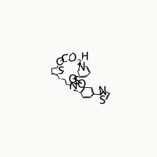 O=C(O)Oc1ccc(CCCN(Cc2ccc(-c3nccs3)cc2)S(=O)(=O)c2cccnc2)s1